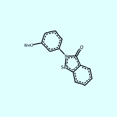 COc1cccc(-n2[se]c3ccccc3c2=O)c1